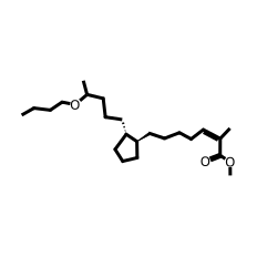 CCCCOC(C)CCC[C@H]1CCC[C@@H]1CCCCC=C(C)C(=O)OC